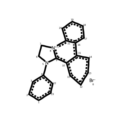 [Br-].c1ccc(N2CC[n+]3c2c2ccccc2c2ccccc23)cc1